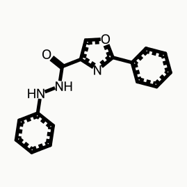 O=C(NNc1ccccc1)c1coc(-c2ccccc2)n1